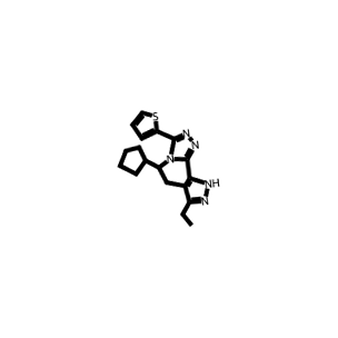 CCc1n[nH]c2c1CC(C1CCCC1)n1c(-c3cccs3)nnc1-2